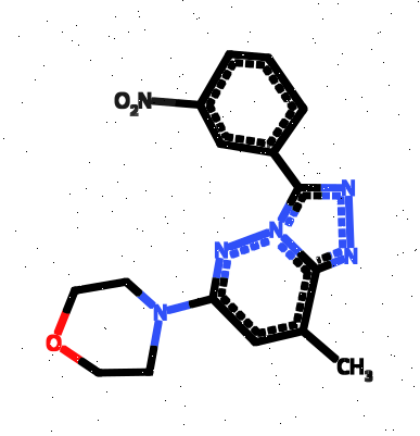 Cc1cc(N2CCOCC2)nn2c(-c3cccc([N+](=O)[O-])c3)nnc12